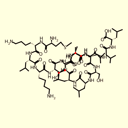 CSCC[C@H](N)C(=O)N[C@@H](CCCCN)C(=O)N[C@@H](CC(C)C)C(=O)N[C@@H](CCCCN)C(=O)N[C@H](C(=O)N[C@@H](CC(C)C)C(=O)N[C@@H](C)C(=O)N[C@@H](CC(C)C)C(=O)N[C@@H](CO)C(=O)N[C@@H](CC(C)C)C(=O)N[C@@H](CC(C)C)C(=O)N[C@@H](C)C(=O)N[C@@H](C)C(=O)NCC(=O)N[C@H](C(=O)N[C@@H](CC(C)C)C(=O)O)C(C)C)[C@@H](C)O